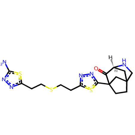 Nc1nnc(CCSCCc2nnc(C34CCC5(CN[C@@H](C5)C3=O)C4)s2)s1